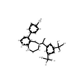 CC(c1cc(C(F)(F)F)cc(C(F)(F)F)c1)N1CCOc2nccc(-c3ccc(Cl)cc3)c2C1